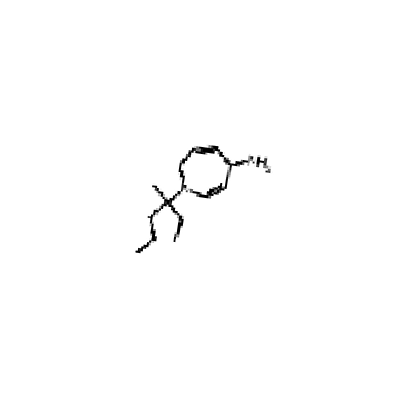 CCCC(C)(CC)N1C=CC(N)C=CC1